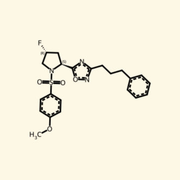 COc1ccc(S(=O)(=O)N2C[C@H](F)C[C@H]2c2nc(CCCc3ccccc3)no2)cc1